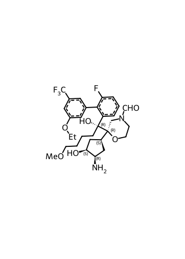 CCOc1cc(-c2c(F)cccc2[C@](O)(CCCCOC)[C@@]2([C@H]3C[C@@H](N)[C@@H](O)C3)CN(C=O)CCO2)cc(C(F)(F)F)c1